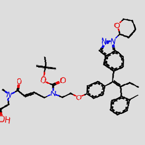 CC/C(=C(/c1ccc(OCCN(C/C=C/C(=O)N(C)CCO)C(=O)OC(C)(C)C)cc1)c1ccc2c(cnn2C2CCCCO2)c1)c1ccccc1C